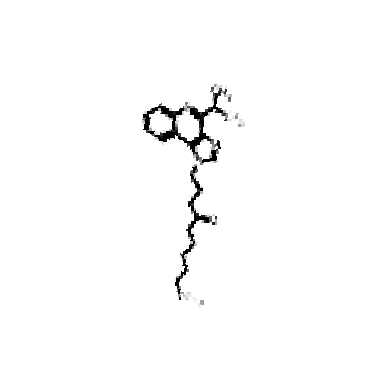 CCCCCCC(=O)CCCn1cnc2c(C(C)C)nc3ccccc3c21